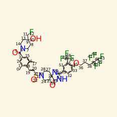 Cc1cc(C(=O)N2CCC(O)(CF)CC2)cc(C)c1/C=C/[S+]([O-])N1CCC2(CC1)N=C(c1ccc(OCCCC(F)(F)C(F)(F)F)c(C(F)(F)F)c1)NC2=O